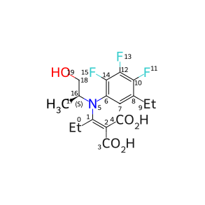 CCC(=C(C(=O)O)C(=O)O)N(c1cc(CC)c(F)c(F)c1F)[C@@H](C)CO